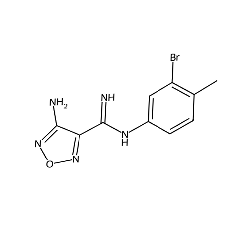 Cc1ccc(NC(=N)c2nonc2N)cc1Br